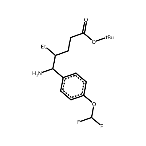 CCC(CCC(=O)OC(C)(C)C)C(N)c1ccc(OC(F)F)cc1